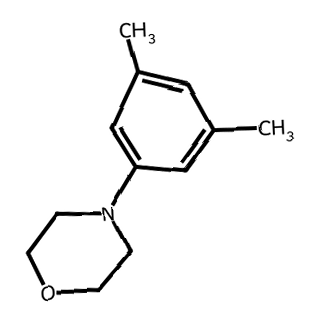 Cc1cc(C)cc(N2CCOCC2)c1